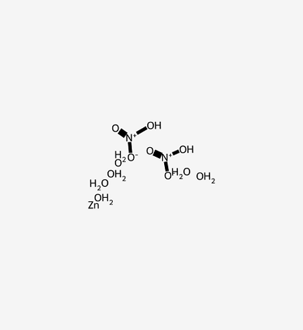 O.O.O.O.O.O.O=[N+]([O-])O.O=[N+]([O-])O.[Zn]